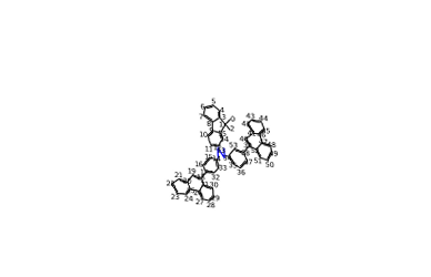 CC1(C)c2ccccc2-c2ccc(N(c3ccc(-c4cc5ccccc5c5ccccc45)cc3)c3cccc(-c4cc5ccccc5c5ccccc45)c3)cc21